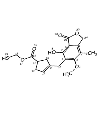 COc1c(C)c2c(c(O)c1CC1=CCC(C(=O)OCS)C1)C(=O)OC2